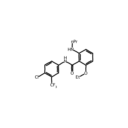 CCCNc1cccc(OCC)c1C(=O)Nc1ccc(Cl)c(C(F)(F)F)c1